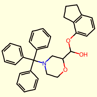 OC(Oc1cccc2c1CCC2)C1CN(C(c2ccccc2)(c2ccccc2)c2ccccc2)CCO1